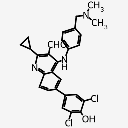 CN(C)Cc1ccc(Nc2c(C=O)c(C3CC3)nc3ccc(-c4cc(Cl)c(O)c(Cl)c4)cc23)cc1